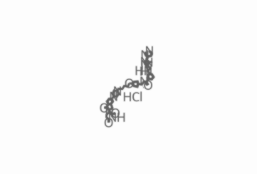 C[C@@H](NC(=O)c1cccc(NCc2nnc(-c3ccncn3)n2C)c1)c1ccc(OCCCCN2CCN(c3ccc4c(c3)CN(C3CCC(=O)NC3=O)C4=O)CC2)cc1.Cl